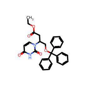 CCOC(=O)CC(COC(c1ccccc1)(c1ccccc1)c1ccccc1)n1ccc(=O)[nH]c1=O